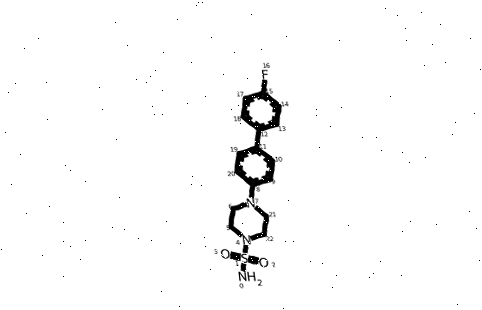 NS(=O)(=O)N1CCN(c2ccc(-c3ccc(F)cc3)cc2)CC1